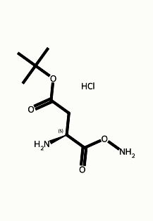 CC(C)(C)OC(=O)C[C@H](N)C(=O)ON.Cl